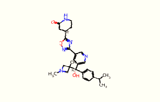 CC(C)c1ccc([C@](O)(c2cncc(-c3noc([C@@H]4CCNC(=O)C4)n3)c2)C2(C)CN(C)C2)cc1